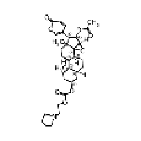 CC(=O)O[C@H]1[C@H]2O[C@]23[C@@H]2CC[C@@H]4C[C@@H](OC(=O)OCCN5CCCC5)CC[C@]4(C)[C@H]2CC[C@]3(C)[C@H]1c1ccc(=O)oc1